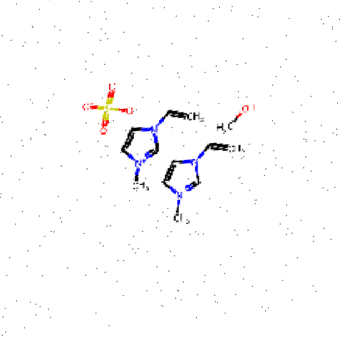 C=Cn1cc[n+](C)c1.C=Cn1cc[n+](C)c1.CO.O=S(=O)([O-])[O-]